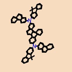 CC1(C)c2ccccc2-c2ccc(N(c3ccc4c(ccc5ccccc54)c3)c3ccc4c(ccc5c6ccc(N(c7ccc8c(c7)C(C)(C)c7ccccc7-8)c7ccc8c(ccc9ccccc98)c7)cc6c6ccccc6c45)c3)cc21